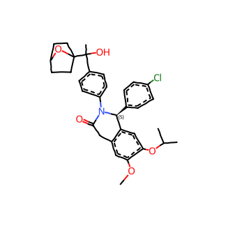 COc1cc2c(cc1OC(C)C)[C@H](c1ccc(Cl)cc1)N(c1ccc(C(C)(O)C34CCC(CC3)O4)cc1)C(=O)C2